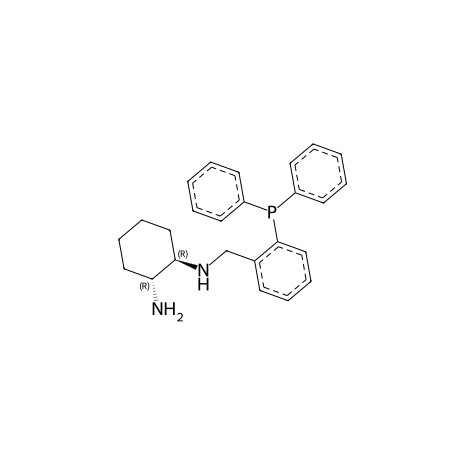 N[C@@H]1CCCC[C@H]1NCc1ccccc1P(c1ccccc1)c1ccccc1